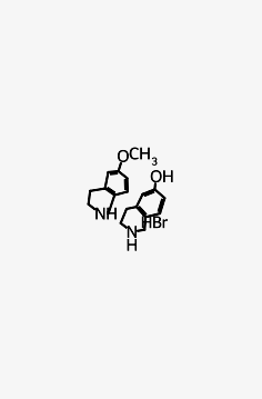 Br.COc1ccc2c(c1)CCNC2.Oc1ccc2c(c1)CCNC2